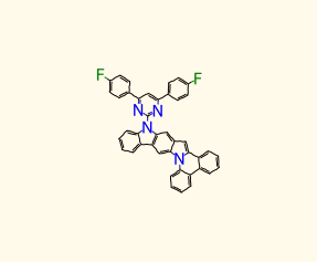 Fc1ccc(-c2cc(-c3ccc(F)cc3)nc(-n3c4ccccc4c4cc5c(cc43)cc3c4ccccc4c4ccccc4n53)n2)cc1